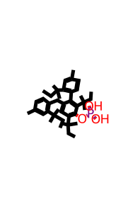 CCC(C)(C)c1cc(C)ccc1Cc1cc(C(C)(C)CC)c(OP(O)O)c(C(C)(C)CC)c1-c1ccc(C)cc1C(C)(C)CC